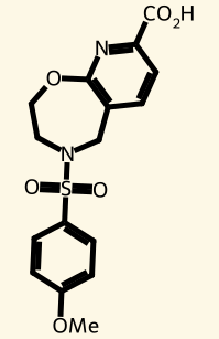 COc1ccc(S(=O)(=O)N2CCOc3nc(C(=O)O)ccc3C2)cc1